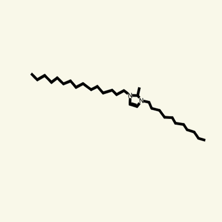 CCCCCCCCCCCCCCCN1C=CN(CCCCCCCCCCC)C1C